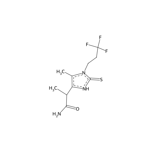 Cc1c(C(C)C(N)=O)[nH]c(=S)n1CCC(F)(F)F